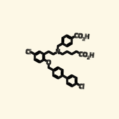 O=C(O)CCCCN(CCc1cc(Cl)ccc1OCc1ccc(-c2ccc(Cl)cc2)cc1)Cc1ccc(C(=O)O)cc1